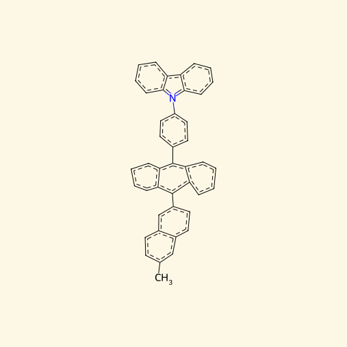 Cc1ccc2cc(-c3c4ccccc4c(-c4ccc(-n5c6ccccc6c6ccccc65)cc4)c4ccccc34)ccc2c1